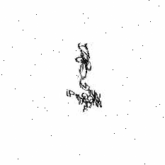 CC(C)N(C(=O)c1cc(F)ccc1Oc1nncnc1N1CC2(CCN(CC3CCN(S(=O)(=O)N4CCNCC4)CC3)CC2)C1)C(C)C